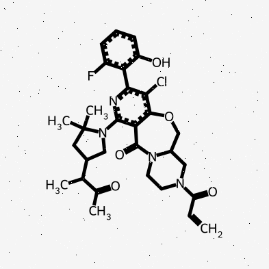 C=CC(=O)N1CCN2C(=O)c3c(N4CC(C(C)C(C)=O)CC4(C)C)nc(-c4c(O)cccc4F)c(Cl)c3OCC2C1